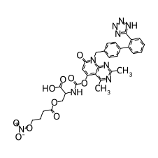 Cc1nc(C)c2c(OC(=O)NC(COC(=O)CCCO[N+](=O)[O-])C(=O)O)cc(=O)n(Cc3ccc(-c4ccccc4-c4nnn[nH]4)cc3)c2n1